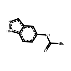 CC(C)(C)C(=O)Nc1ccc2[nH]ncc2c1